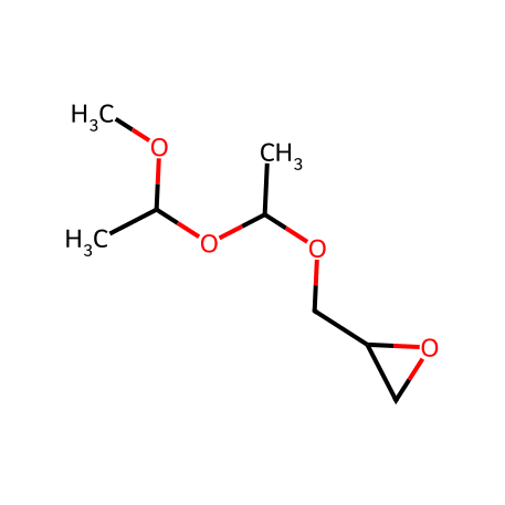 COC(C)OC(C)OCC1CO1